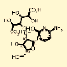 Nc1ccn([C@@H]2O[C@H](CO)[C@@H](O)[C@H]2O)c(=O)n1.O=C(O)C(O)C(O)C(O)C(O)C(=O)O